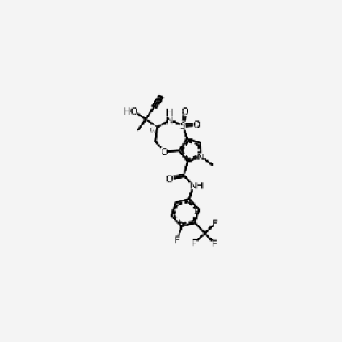 C#CC(C)(O)[C@@H]1COc2c(cn(C)c2C(=O)Nc2ccc(F)c(C(F)(F)F)c2)S(=O)(=O)N1